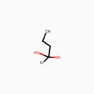 [CH2]CC(O)(O)CCC#N